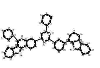 c1ccc(-c2cc(-c3ccc4c(c3)nc(-c3ccccc3)c3c5ccccc5oc43)nc(-c3cccc(-c4cccc5c4sc4ccccc45)c3)n2)cc1